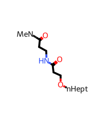 CCCCCCCOCCC(=O)NCCC(=O)NC